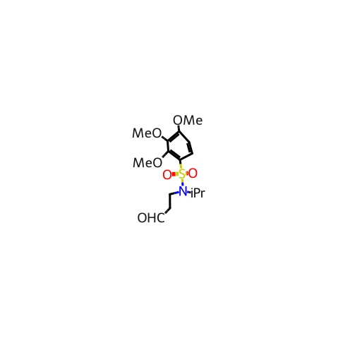 COc1ccc(S(=O)(=O)N(CCC=O)C(C)C)c(OC)c1OC